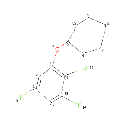 Fc1[c]c(OC2CCCCC2)c(F)c(F)c1